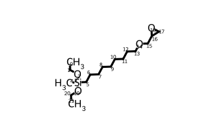 CCO[Si](C)(CCCCCCCCCOCC1CO1)OCC